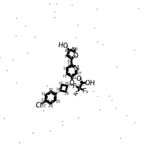 O=C(O)C(F)(F)F.Oc1cc(-c2ccc(O[C@H]3C[C@@H](c4ccc(Cl)cc4)C3)cn2)on1